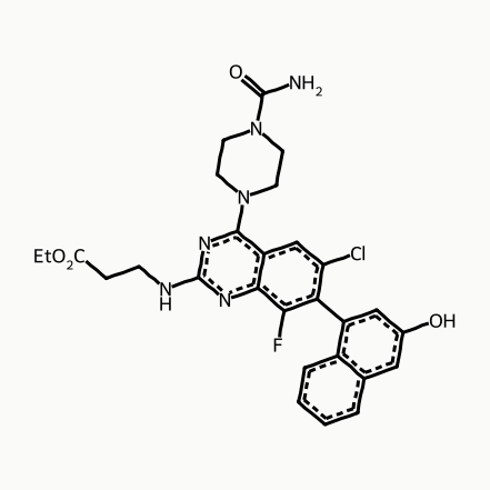 CCOC(=O)CCNc1nc(N2CCN(C(N)=O)CC2)c2cc(Cl)c(-c3cc(O)cc4ccccc34)c(F)c2n1